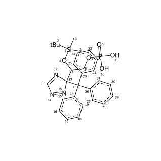 CC(C)(C)[Si](C)(C)OC(COP(=O)(O)O)C1(C(c2ccccc2)(c2ccccc2)c2ccccc2)N=CN=N1